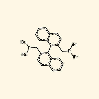 CCC(C)P(Cc1ccc2ccccc2c1-c1c(CP(C(C)C)C(C)C)ccc2ccccc12)C(C)CC